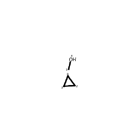 C1CC1.CO